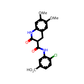 COc1cc2c(cc1OC)NC(=O)C(C(=O)Nc1cc(C(=O)O)ccc1Cl)C2